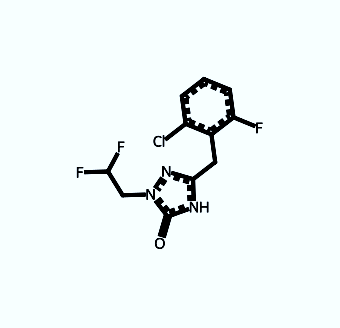 O=c1[nH]c(Cc2c(F)cccc2Cl)nn1CC(F)F